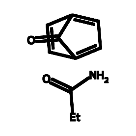 CCC(N)=O.O=C1C2=CC=C1C=C2